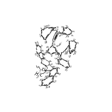 CC1(C)C2=Cc3c(n(-c4cc(N(c5ccccc5)c5ccccc5)cc(N(c5ccccc5)c5ccccc5)c4)c4ccccc34)CC2c2ccc3ccccc3c21